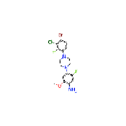 COc1cc(N2CCN(c3ccc(Br)c(Cl)c3F)CC2)c(F)cc1N